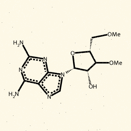 COC[C@H]1O[C@@H](n2cnc3c(N)nc(N)nc32)[C@@H](O)C1OC